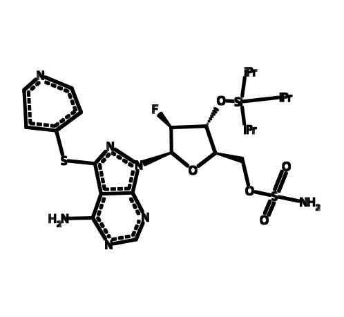 CC(C)[Si](O[C@H]1[C@H](F)[C@H](n2nc(Sc3ccncc3)c3c(N)ncnc32)O[C@@H]1COS(N)(=O)=O)(C(C)C)C(C)C